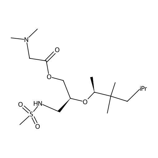 CC(C)CC(C)(C)[C@H](C)O[C@@H](CNS(C)(=O)=O)COC(=O)CN(C)C